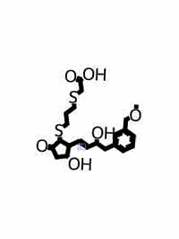 COCc1cccc(CC(O)/C=C/C2C(O)CC(=O)C2SCCCSCC(=O)O)c1